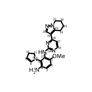 COc1ccc(N)c(N2C=CCC2)c1Nc1nccc(-c2cnn3c2CCCC3)n1